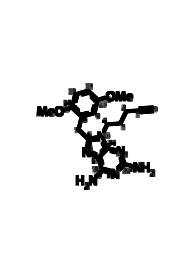 C#CCCCn1c(Cc2cc(OC)ccc2OC)nc2c(N)nc(N)nc21